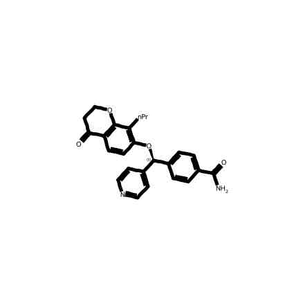 CCCc1c(O[C@H](c2ccncc2)c2ccc(C(N)=O)cc2)ccc2c1OCCC2=O